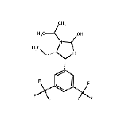 CC[C@H]1[C@@H](c2cc(C(F)(F)F)cc(C(F)(F)F)c2)OC(O)N1C(C)C